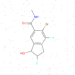 CNC(=O)c1cc2c(c(F)c1Br)CC(F)C2O